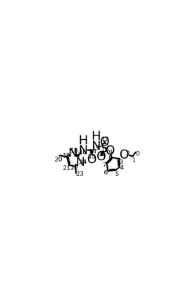 CCOc1ccccc1OS(=O)(=O)NC(=O)Nc1nc(C)cc(C)n1